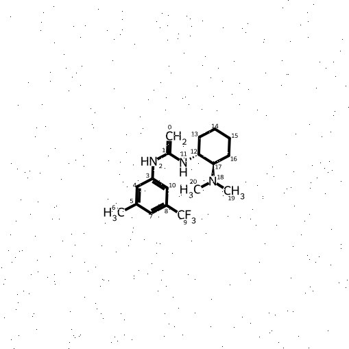 C=C(Nc1cc(C)cc(C(F)(F)F)c1)N[C@@H]1CCCC[C@H]1N(C)C